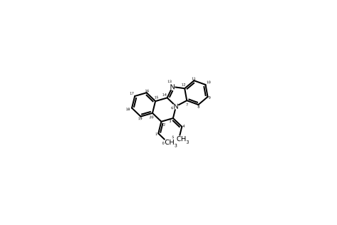 C/C=c1\c(=C/C)n2c3ccccc3nc2c2ccccc12